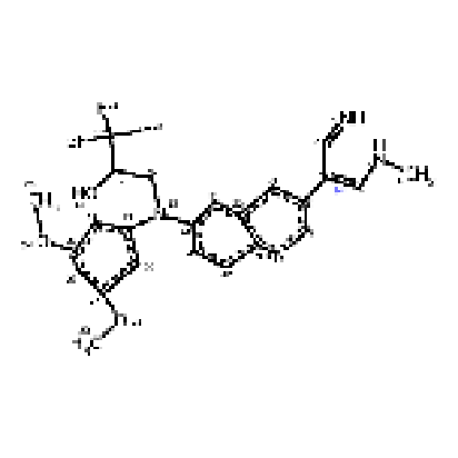 CN/C=C(\C=N)c1cnc2ccc(N(CC(O)C(F)(F)F)c3cc(OC)cc(OC)c3)cc2c1